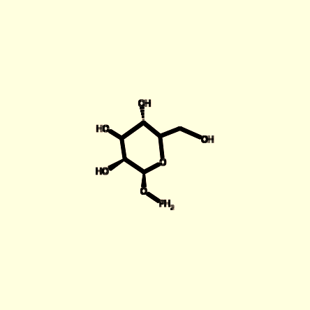 OCC1O[C@@H](OP)[C@@H](O)C(O)[C@@H]1O